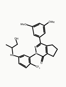 COc1cc(OC)cc(-c2nn(-c3cc(NC(C)CO)ccc3C(F)(F)F)c(=O)c3c2CCC3)c1